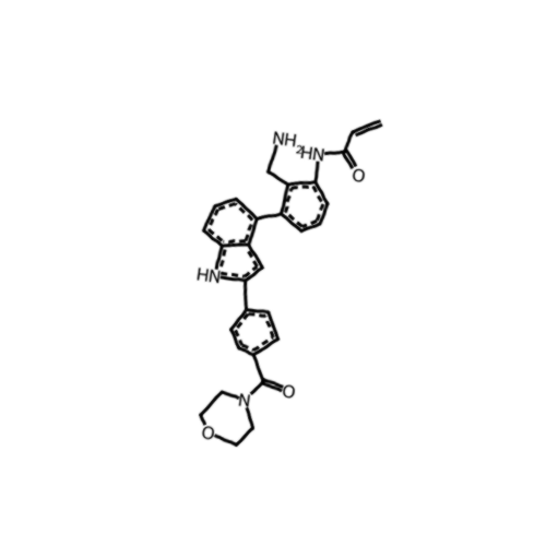 C=CC(=O)Nc1cccc(-c2cccc3[nH]c(-c4ccc(C(=O)N5CCOCC5)cc4)cc23)c1CN